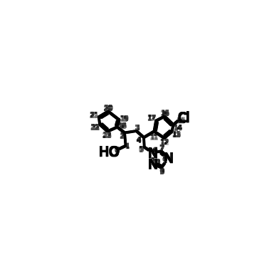 OCC(CC(Cn1cncn1)c1ccc(Cl)cc1)c1ccccc1